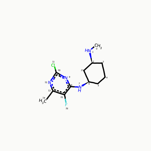 CN[C@H]1CCC[C@@H](Nc2nc(Cl)nc(C)c2F)C1